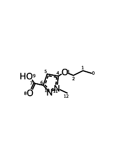 CCCOc1cc(C(=O)O)nn1C